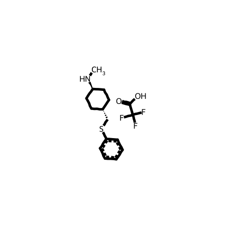 CN[C@H]1CC[C@H](CSc2ccccc2)CC1.O=C(O)C(F)(F)F